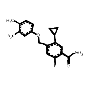 Cc1ccc(OCc2cc(F)c(C(N)=O)cc2C2CC2)cc1C